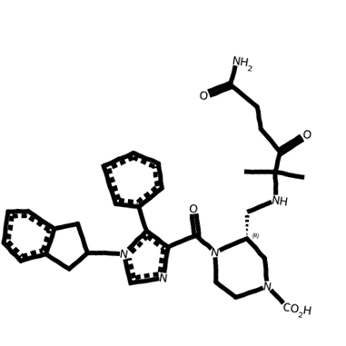 CC(C)(NC[C@@H]1CN(C(=O)O)CCN1C(=O)c1ncn(C2Cc3ccccc3C2)c1-c1ccccc1)C(=O)CCC(N)=O